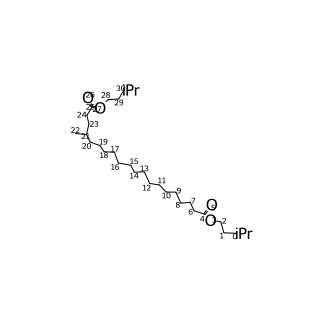 CC(C)CCOC(=O)CCCCCCCCCCCCCCCC(C)CCC(=O)OCCC(C)C